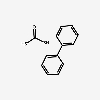 O=C(S)S.c1ccc(-c2ccccc2)cc1